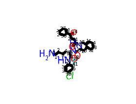 NCCCC[C@H](NC(=O)[C@@H]1Cc2ccccc2CN1C(=O)CCC(=O)c1ccccc1)C(=O)Nc1ccc(Cl)cc1F